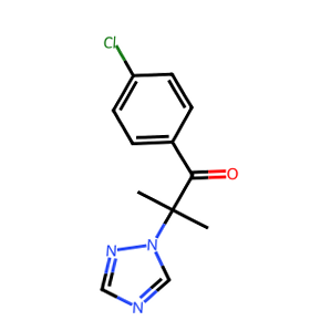 CC(C)(C(=O)c1ccc(Cl)cc1)n1cncn1